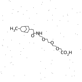 CC1CC2CC(CC(=O)NCCOCCOCCOCC(=O)O)CC(C1)C2